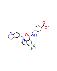 COC(=O)[C@H]1CC[C@H](CNC(=O)c2cc(C(F)(F)F)cc3ccn(Cc4ccc5ncccc5c4)c23)CC1